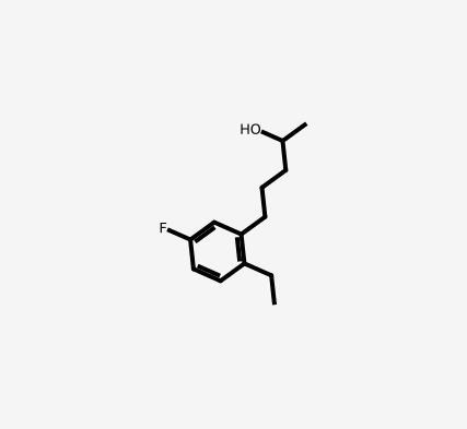 CCc1ccc(F)cc1CCCC(C)O